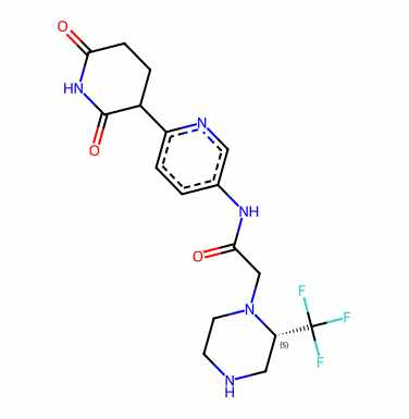 O=C1CCC(c2ccc(NC(=O)CN3CCNC[C@H]3C(F)(F)F)cn2)C(=O)N1